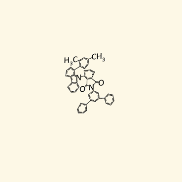 Cc1ccc(-c2cccc3c4ccccc4n(-c4cccc5c4C(=O)N(c4cc(-c6ccccc6)cc(-c6ccccc6)c4)C5=O)c23)c(C)c1